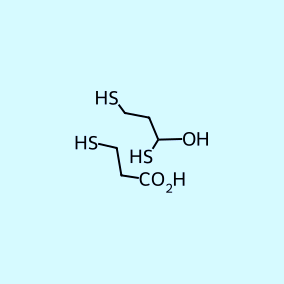 O=C(O)CCS.OC(S)CCS